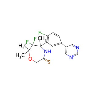 CC1(C)OCC(=S)NC(C)(c2cc(-c3cncnc3)ccc2F)C1(F)F